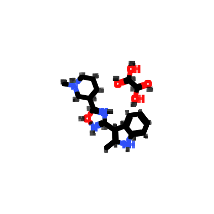 Cc1[nH]c2ccccc2c1-c1noc(C2CCCN(C)C2)n1.O=C(O)C(=O)O